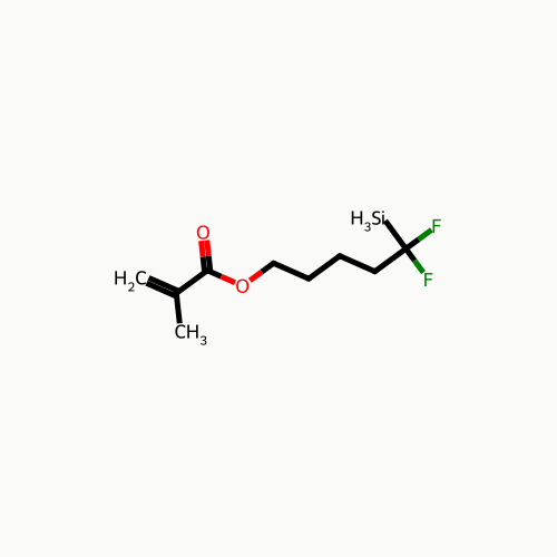 C=C(C)C(=O)OCCCCC(F)(F)[SiH3]